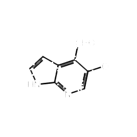 O=Cc1c(Cl)cnc2[nH]ccc12